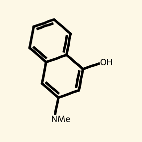 CNc1cc(O)c2ccccc2c1